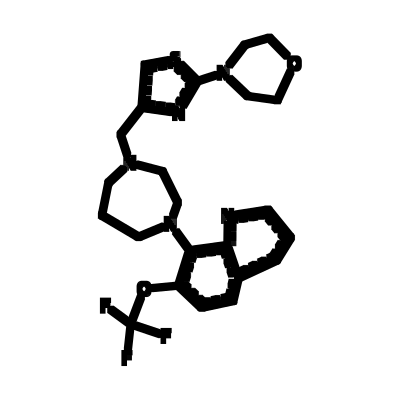 FC(F)(F)Oc1ccc2cccnc2c1N1CCCN(Cc2csc(N3CCOCC3)n2)CC1